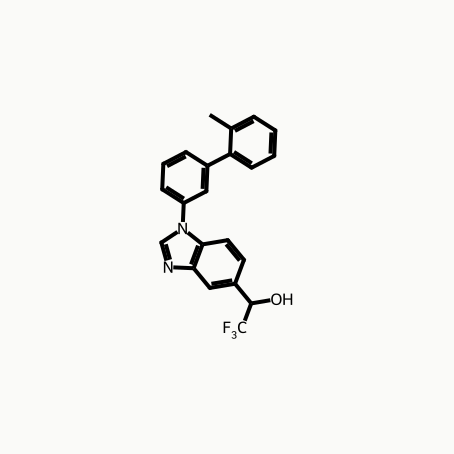 Cc1ccccc1-c1cccc(-n2cnc3cc(C(O)C(F)(F)F)ccc32)c1